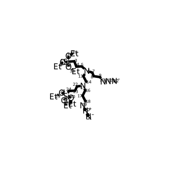 CCO[Si](CCCN(CCCN=[N+]=[N-])CCN(CCCN=[N+]=[N-])CCC[Si](OCC)(OCC)OCC)(OCC)OCC